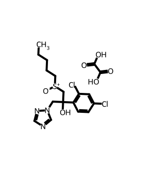 CCCCC[S+]([O-])CC(O)(Cn1cncn1)c1ccc(Cl)cc1Cl.O=C(O)C(=O)O